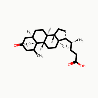 CC1CC(=O)C[C@H]2CC[C@H]3[C@@H]4CC[C@H]([C@H](C)CCC(=O)O)[C@@]4(C)CC[C@@H]3[C@@]12C